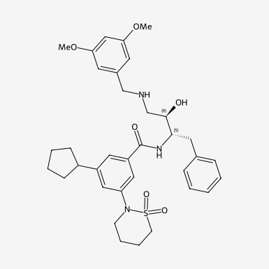 COc1cc(CNC[C@@H](O)[C@H](Cc2ccccc2)NC(=O)c2cc(C3CCCC3)cc(N3CCCCS3(=O)=O)c2)cc(OC)c1